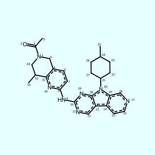 CC(=O)N1Cc2ccc(Nc3ncc4c5ccncc5n(C5CCC(C)CC5)c4n3)nc2C(C)C1